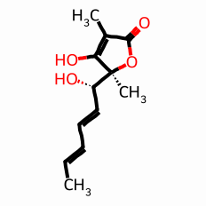 C/C=C/C=C/[C@H](O)[C@]1(C)OC(=O)C(C)=C1O